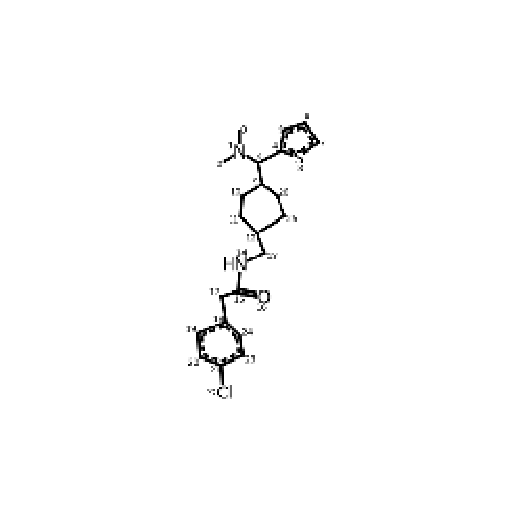 CN(C)C(c1cccs1)C1CCC(CNC(=O)Cc2ccc(Cl)cc2)CC1